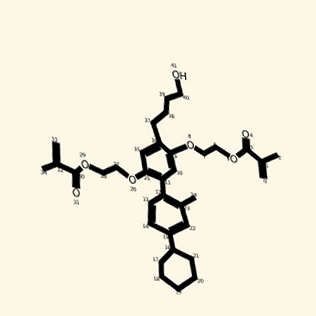 C=C(C)C(=O)OCCOc1cc(-c2ccc(C3CCCCC3)cc2C)c(OCCOC(=O)C(=C)C)cc1CCCCO